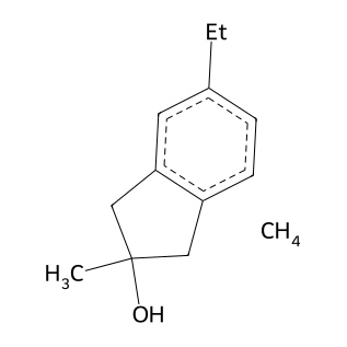 C.CCc1ccc2c(c1)CC(C)(O)C2